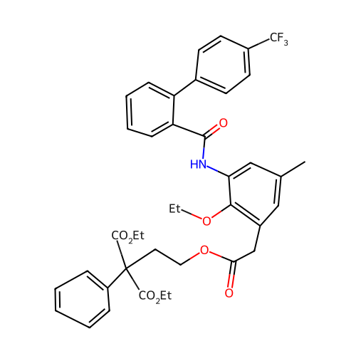 CCOC(=O)C(CCOC(=O)Cc1cc(C)cc(NC(=O)c2ccccc2-c2ccc(C(F)(F)F)cc2)c1OCC)(C(=O)OCC)c1ccccc1